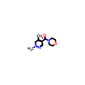 CC1=C(C(=O)N2CCOCC2)C=NN(C)C1